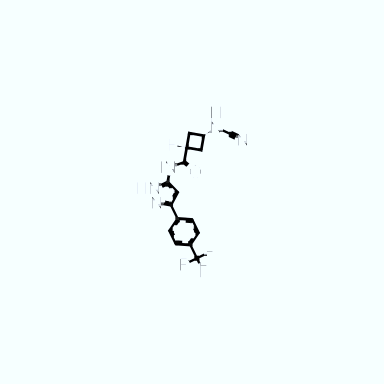 N#CN[C@H]1C[C@](F)(C(=O)Nc2cc(-c3ccc(C(F)(F)F)cc3)n[nH]2)C1